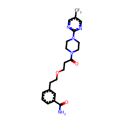 NC(=O)c1cccc(CCOCCC(=O)N2CCN(c3ncc(C(F)(F)F)cn3)CC2)c1